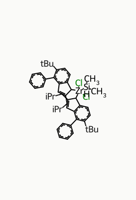 CC(C)CC1=Cc2c(ccc(C(C)(C)C)c2-c2ccccc2)[CH]1[Zr]([Cl])([Cl])([CH]1C(CC(C)C)=Cc2c1ccc(C(C)(C)C)c2-c1ccccc1)[SiH](C)C